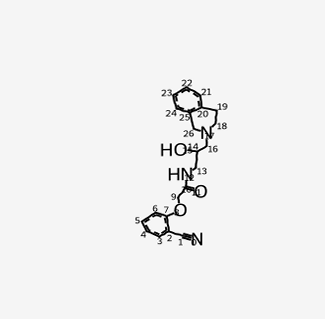 N#Cc1ccccc1OCC(=O)NCC(O)CN1CCc2ccccc2C1